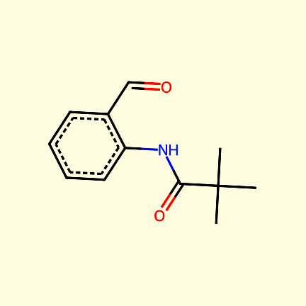 CC(C)(C)C(=O)Nc1ccccc1C=O